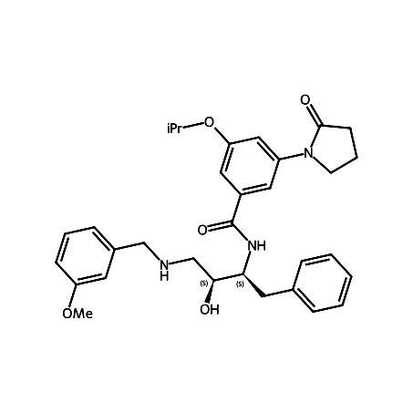 COc1cccc(CNC[C@H](O)[C@H](Cc2ccccc2)NC(=O)c2cc(OC(C)C)cc(N3CCCC3=O)c2)c1